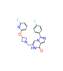 O=c1[nH]c(CN2CC(Oc3cccc(F)n3)C2)cn2c(-c3ccc(F)cc3)ncc12